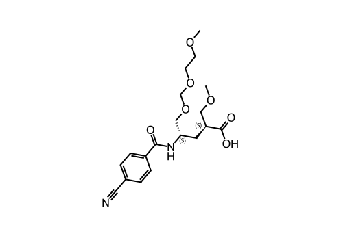 COCCOCOC[C@H](C[C@@H](COC)C(=O)O)NC(=O)c1ccc(C#N)cc1